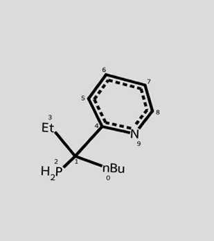 CCCCC(P)(CC)c1ccccn1